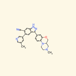 Cc1cncc(-c2cc3c(-c4ccc5c(c4)OCC4CN(C)CCN54)n[nH]c3cc2C#N)c1